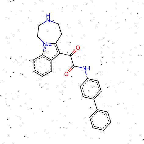 O=C(Nc1ccc(-c2ccccc2)cc1)C(=O)c1c2n(c3ccccc13)CCNCC2